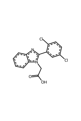 O=C(O)Cn1c(-c2cc(Cl)ccc2Cl)nc2ccccc21